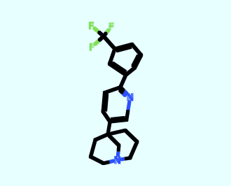 FC(F)(F)c1cccc(-c2ccc(C34CCCN(CCC3)C4)cn2)c1